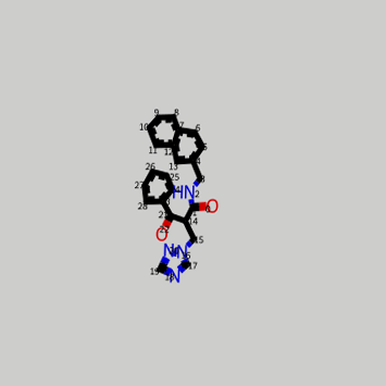 O=C(NCc1ccc2ccccc2c1)C(Cn1cncn1)C(=O)c1ccccc1